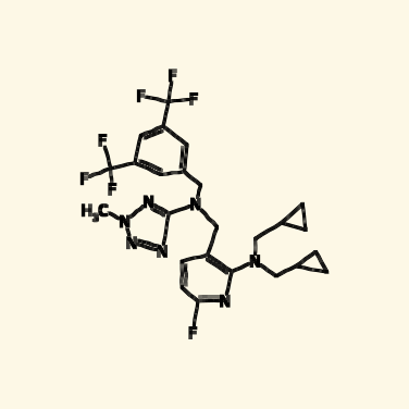 Cn1nnc(N(Cc2cc(C(F)(F)F)cc(C(F)(F)F)c2)Cc2ccc(F)nc2N(CC2CC2)CC2CC2)n1